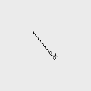 CCCCCCCCCCCCCCOCC1OC1(C)C